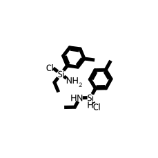 CCN[SiH](Cl)c1ccc(C)cc1.CC[Si](N)(Cl)c1cccc(C)c1